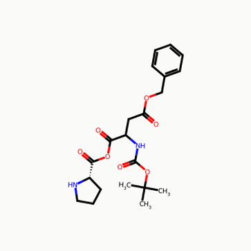 CC(C)(C)OC(=O)NC(CC(=O)OCc1ccccc1)C(=O)OC(=O)[C@@H]1CCCN1